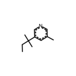 CCC(C)(C)c1cncc(C)c1